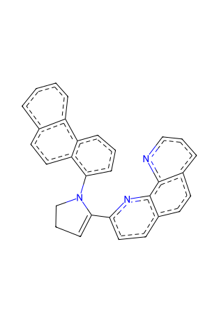 C1=C(c2ccc3ccc4cccnc4c3n2)N(c2cccc3c2ccc2ccccc23)CC1